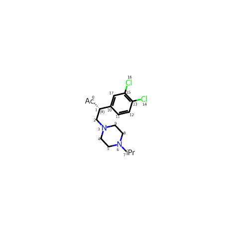 CC(=O)[C@@H](CN1CCN(C(C)C)CC1)c1ccc(Cl)c(Cl)c1